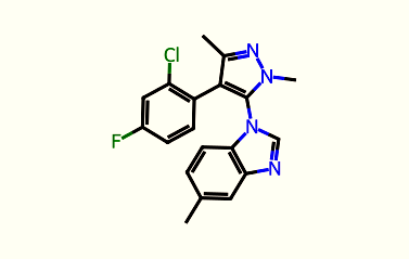 Cc1ccc2c(c1)ncn2-c1c(-c2ccc(F)cc2Cl)c(C)nn1C